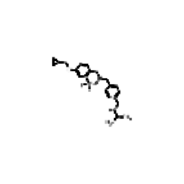 C=C(C)NCc1ccc(CN2Cc3ccc(OCC4CC4)cc3C(F)(F)C2)cc1